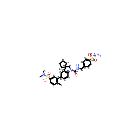 Cc1ccc(S(=O)(=O)N(C)C)cc1-c1ccc2c(c1)C1(CCCC1)CN2C(=O)NCc1ccc(S(N)(=O)=O)cc1